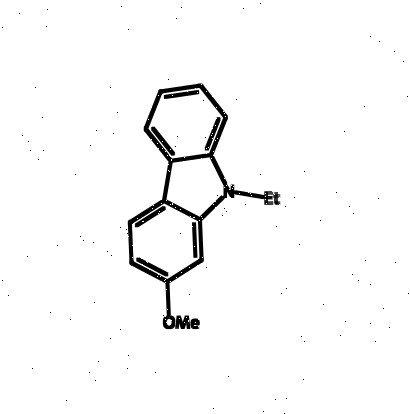 CCn1c2ccccc2c2ccc(OC)cc21